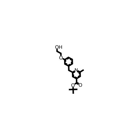 Cc1cc(C(=O)OC(C)(C)C)cc(Cc2cccc(OCCO)c2)n1